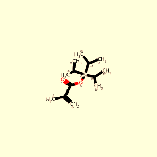 C=C(C)C(=O)O[Si](C(C)C)(C(C)C)C(C)C